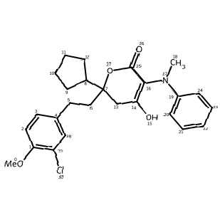 COc1ccc(CCC2(C3CCCC3)CC(O)=C(N(C)c3ccccc3)C(=O)O2)cc1Cl